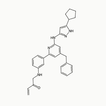 C=CC(=O)CNc1cccc(-c2cc(Cc3ccccc3)cc(Nc3cc(C4CCCC4)[nH]n3)n2)c1